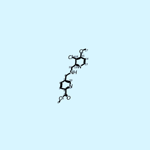 COC(=O)c1ccc(CNCc2nccc(OC)c2Cl)cn1